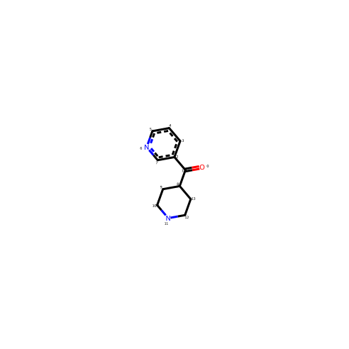 O=C(c1cccnc1)C1CC[N]CC1